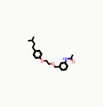 CC(=O)Nc1cccc(COCCOc2ccc(CCC(C)C)cc2)c1